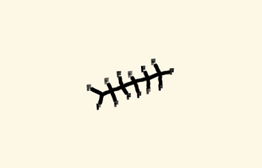 FC(F)C(F)(F)C(F)(F)C(F)(F)C(F)(F)C(F)(F)F